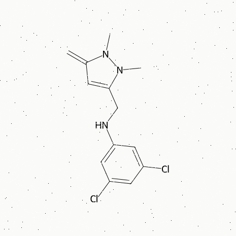 C=C1C=C(CNc2cc(Cl)cc(Cl)c2)N(C)N1C